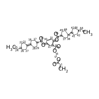 C=CC(=O)OCCOC(=O)c1cc(OC(=O)C2CCC(C3CCC(CC)CC3)CC2)ccc1OC(=O)C1CCC(C2CCC(CC)CC2)CC1